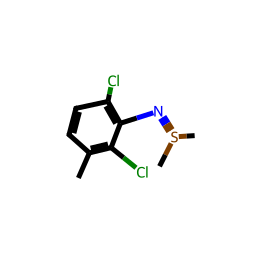 Cc1ccc(Cl)c(N=S(C)C)c1Cl